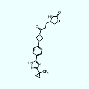 O=C1N[C@H](CCC(=O)N2CC(c3ccc(-c4nc(C5(C(F)(F)F)CC5)n[nH]4)cc3)C2)CO1